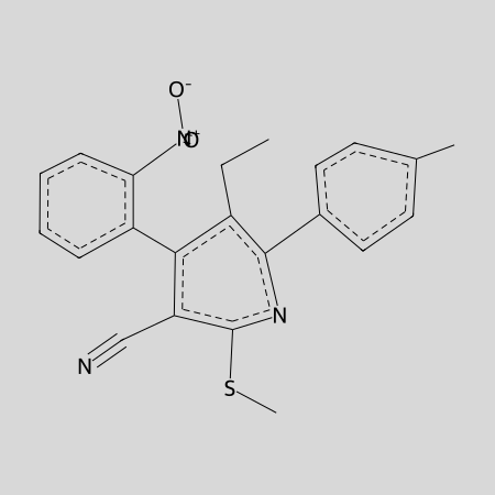 CCc1c(-c2ccc(C)cc2)nc(SC)c(C#N)c1-c1ccccc1[N+](=O)[O-]